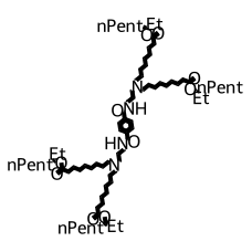 CCCCCC(CC)OC(=O)CCCCCCCCN(CCCCCCCCC(=O)OC(CC)CCCCC)CCCNC(=O)c1ccc(C(=O)NCCCN(CCCCCCCCC(=O)OC(CC)CCCCC)CCCCCCCCC(=O)OC(CC)CCCCC)cc1